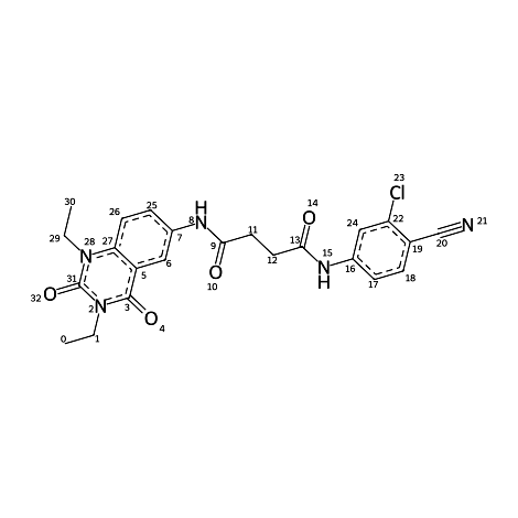 CCn1c(=O)c2cc(NC(=O)CCC(=O)Nc3ccc(C#N)c(Cl)c3)ccc2n(CC)c1=O